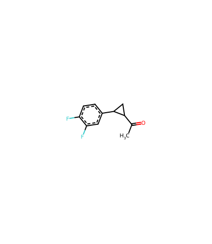 CC(=O)C1CC1c1ccc(F)c(F)c1